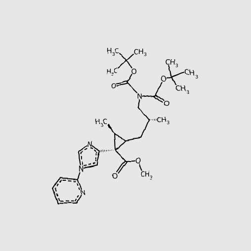 COC(=O)[C@]1(c2cn(-c3ccccn3)cn2)C(C[C@@H](C)CN(C(=O)OC(C)(C)C)C(=O)OC(C)(C)C)[C@@H]1C